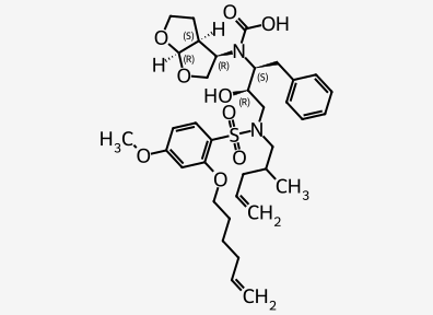 C=CCCCCOc1cc(OC)ccc1S(=O)(=O)N(CC(C)CC=C)C[C@@H](O)[C@H](Cc1ccccc1)N(C(=O)O)[C@H]1CO[C@H]2OCC[C@H]21